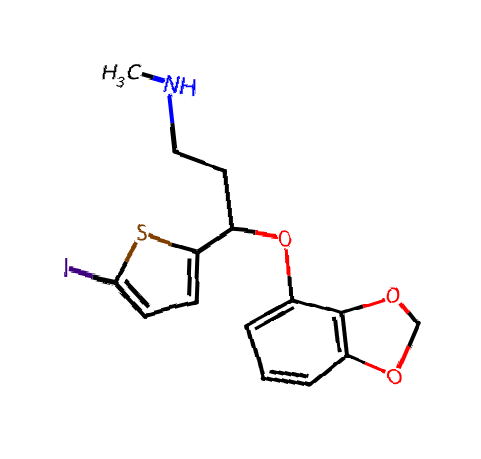 CNCCC(Oc1cccc2c1OCO2)c1ccc(I)s1